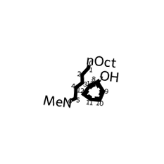 CCCCCCCCCCCCCNC.Oc1ccccc1